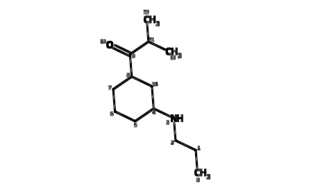 CCCNC1CCCC(C(=O)C(C)C)C1